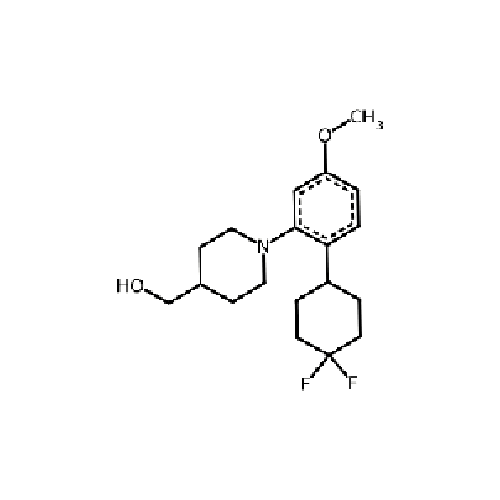 COc1ccc(C2CCC(F)(F)CC2)c(N2CCC(CO)CC2)c1